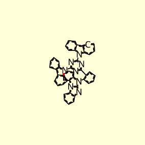 c1ccc(-n2c3ccccc3n3c4ccccc4nc23)c(-c2nc(-n3c4ccccc4c4ccccc43)nc(-n3c4ccccc4c4ccccc43)n2)c1